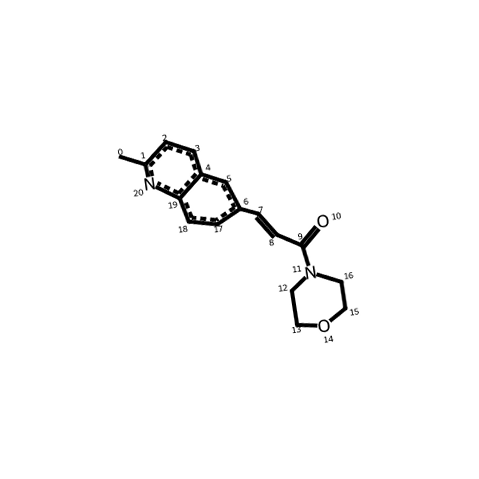 Cc1ccc2cc(/C=C/C(=O)N3CCOCC3)ccc2n1